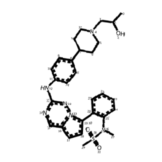 CC(O)CN1CCC(c2ccc(Nc3ncc4ccc(-c5ccccc5N(C)S(C)(=O)=O)n4n3)cc2)CC1